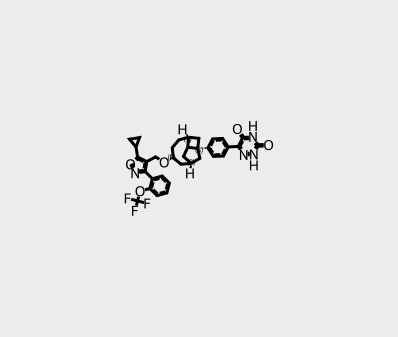 O=c1[nH]nc(-c2ccc([C@]34C[C@H]5CC3[C@@H](CC[C@@H](OCc3c(-c6ccccc6OC(F)(F)F)noc3C3CC3)C5)C4)cc2)c(=O)[nH]1